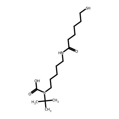 CC(C)(C)N(CCCCCNC(=O)CCCCCS)C(=O)O